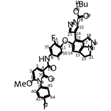 COc1ccc(C(=O)Nc2ccc(Oc3cc4c5c(cnn5CC4)c3-c3cnn(C(=O)OC(C)(C)C)c3)c(F)c2)c(=O)n1-c1ccc(F)cc1